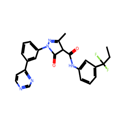 CCC(F)(F)c1cccc(NC(=O)C2C(=O)N(c3cccc(-c4ccncn4)c3)N=C2C)c1